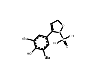 CC(C)(C)c1cc(C2=CCON2P(=O)(O)O)cc(C(C)(C)C)c1O